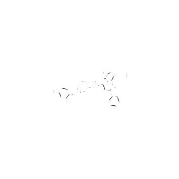 Cc1cnn2c(NCC3CCCN(Cc4ccc(Cl)cc4Cl)C3)cc(-c3ccccc3Cl)nc12